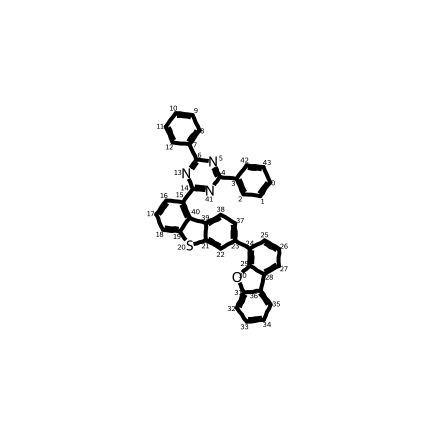 c1ccc(-c2nc(-c3ccccc3)nc(-c3cccc4sc5cc(-c6cccc7c6oc6ccccc67)ccc5c34)n2)cc1